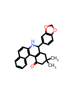 CC1(C)CC(=O)C2=C(C1)C(c1ccc3c(c1)OCO3)Nc1ccc3ccccc3c12